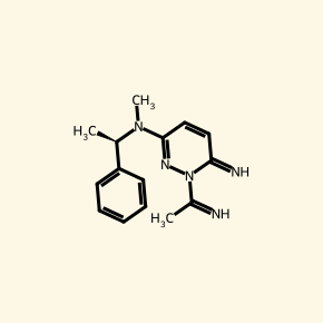 CC(=N)n1nc(N(C)[C@H](C)c2ccccc2)ccc1=N